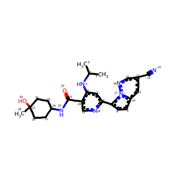 CC(C)Nc1cc(-c2ccc3cc(C#N)cnn23)ncc1C(=O)NC1CCC(C)(O)CC1